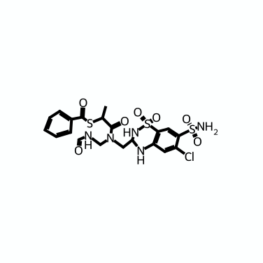 CC(SC(=O)c1ccccc1)C(=O)N(CNC=O)CC1Nc2cc(Cl)c(S(N)(=O)=O)cc2S(=O)(=O)N1